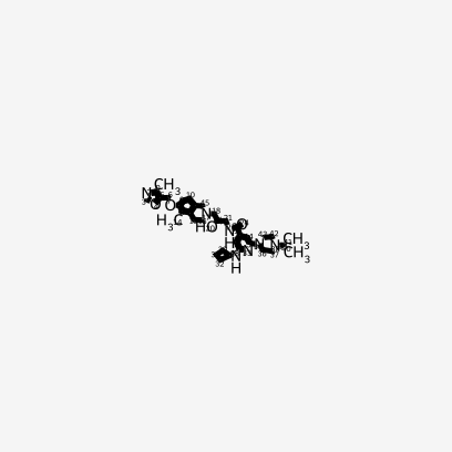 Cc1ncoc1COc1ccc2c(c1C)CCN(C[C@@H](O)CNC(=O)c1cc(NC3CCC3)nc(N3CCN(C(C)C)CC3)c1)C2